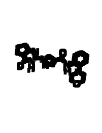 O=C(Nc1ccccc1N1CCOCC1)c1cnn(-c2nc3c(c(=O)[nH]2)CCC3)c1